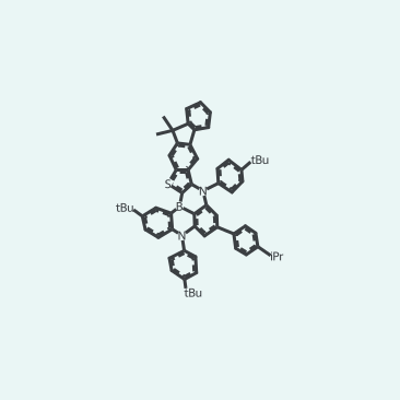 CC(C)c1ccc(-c2cc3c4c(c2)N(c2ccc(C(C)(C)C)cc2)c2c(sc5cc6c(cc25)-c2ccccc2C6(C)C)B4c2cc(C(C)(C)C)ccc2N3c2ccc(C(C)(C)C)cc2)cc1